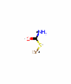 NC(=O)SBr